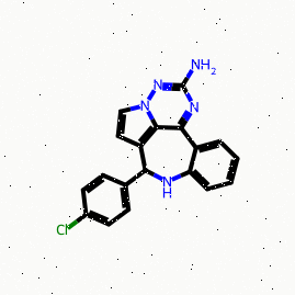 Nc1nc2c3c(ccn3n1)C(c1ccc(Cl)cc1)Nc1ccccc1-2